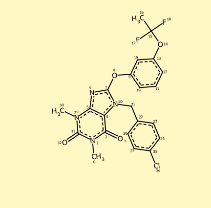 Cn1c(=O)c2c(nc(Oc3cccc(OC(C)(F)F)c3)n2Cc2ccc(Cl)cc2)n(C)c1=O